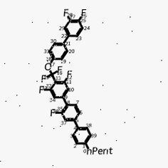 CCCCCc1ccc(-c2ccc(-c3cc(F)c(C(F)(F)Oc4ccc(-c5ccc(F)c(F)c5)cc4)c(F)c3)c(F)c2)cc1